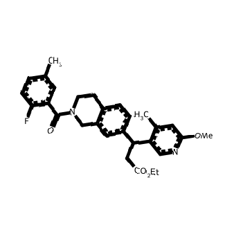 CCOC(=O)CC(c1ccc2c(c1)CN(C(=O)c1cc(C)ccc1F)CC2)c1cnc(OC)cc1C